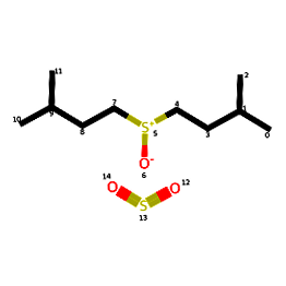 CC(C)CC[S+]([O-])CCC(C)C.O=S=O